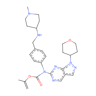 C=C(C)OC(=O)N(c1ccc(CNC2CCN(C)CC2)cc1)c1ncc2cnn(C3CCOCC3)c2n1